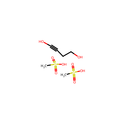 CS(=O)(=O)O.CS(=O)(=O)O.OC#CCCO